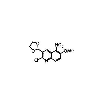 COc1ccc2nc(Cl)c(C3OCCO3)cc2c1[N+](=O)[O-]